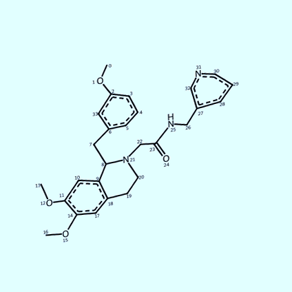 COc1cccc(CC2c3cc(OC)c(OC)cc3CCN2CC(=O)NCc2cccnc2)c1